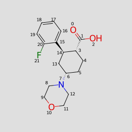 O=C(O)[C@@H]1CC[C@H](N2CCOCC2)C[C@H]1c1ccccc1F